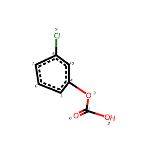 O=C(O)Oc1cccc(Cl)c1